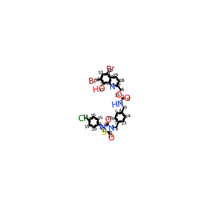 O=C(NCc1ccc(Cn2c(=O)sn(-c3ccc(Cl)cc3)c2=O)cc1)OCc1ccc2c(Br)cc(Br)c(O)c2n1